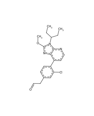 CCC(CC)n1c(OC)nc2c(-c3ccc(CC=O)cc3Cl)ccnc21